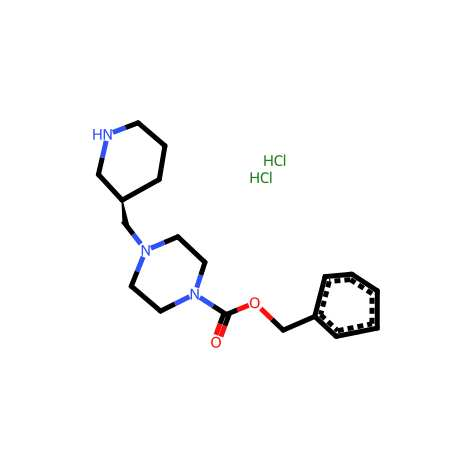 Cl.Cl.O=C(OCc1ccccc1)N1CCN(C[C@@H]2CCCNC2)CC1